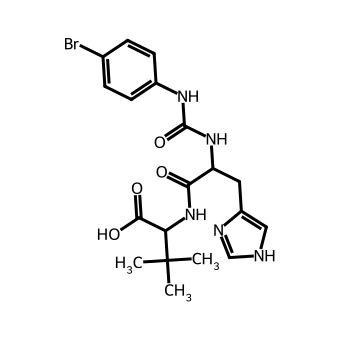 CC(C)(C)C(NC(=O)C(Cc1c[nH]cn1)NC(=O)Nc1ccc(Br)cc1)C(=O)O